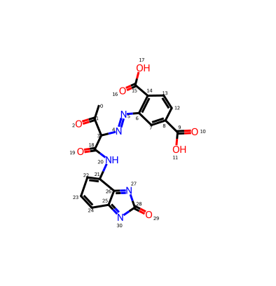 CC(=O)C(N=Nc1cc(C(=O)O)ccc1C(=O)O)C(=O)Nc1cccc2c1=NC(=O)N=2